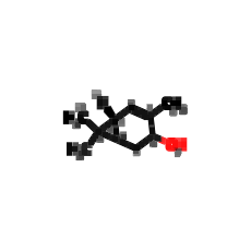 CC1=C[C@@H]2C(CC1O)C2(C)C